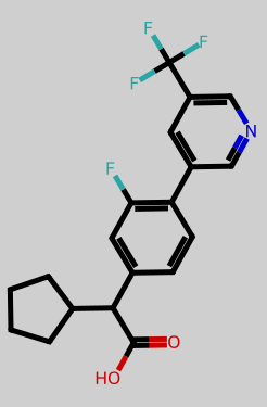 O=C(O)C(c1ccc(-c2cncc(C(F)(F)F)c2)c(F)c1)C1CCCC1